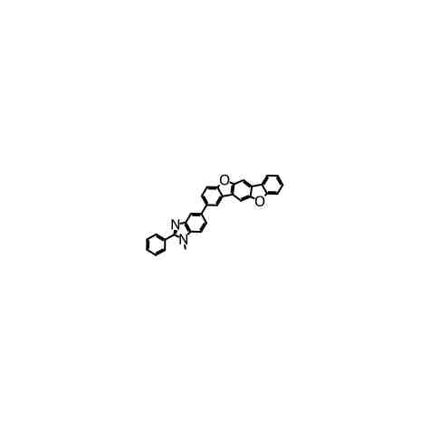 Cn1c(-c2ccccc2)nc2cc(-c3ccc4oc5cc6c(cc5c4c3)oc3ccccc36)ccc21